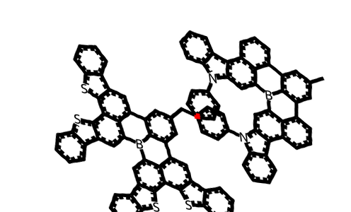 Cc1cc2c3c(c1)-c1cccc4c1c(cc1c4c4ccccc4n1-c1ccc(Cc4cc5c6c(c4)-c4cc7c8ccccc8sc7c7c4c(cc4c8ccccc8sc47)B6c4cc6c7ccccc7sc6c6c4c-5cc4c5ccccc5sc46)cc1)B3c1cc3c(c4cccc-2c14)c1ccccc1n3-c1ccccc1